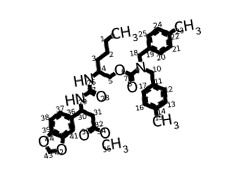 CCCCC(COC(=O)N(Cc1ccc(C)cc1)Cc1ccc(C)cc1)NC(=O)NC(CC(=O)OC)c1ccc2c(c1)OCO2